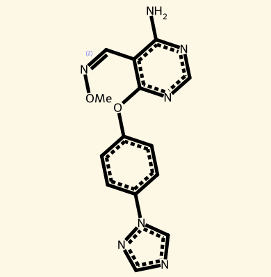 CO/N=C\c1c(N)ncnc1Oc1ccc(-n2cncn2)cc1